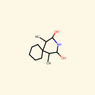 N#CC1C(O)NC(O)C(C#N)C12CCCCC2